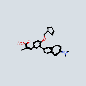 CC(Cc1ccc(OCC2CCCC2)c(-c2ccc3cc(N(C)C)ccc3c2)c1)C(=O)O